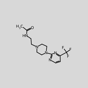 CC(=O)NCCN1CCN(c2nccc(C(F)(F)F)n2)CC1